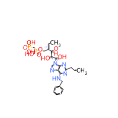 C=CCc1nc(NCc2ccccc2)c2ncn([C@H](O)[C@H](O)[C@H](O)/C(=C\C)COP(=O)(O)CP(=O)(O)O)c2n1